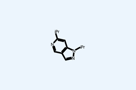 CC(C)c1cc2c(cn1)cnn2C(C)C